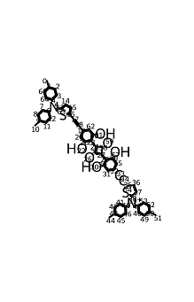 Cc1ccc(N(c2ccc(C)cc2)c2ccc(C#Cc3cc(O)c(C4=C([O-])C(=c5c(O)cc(=C=C=C6C=CC(=[N+](c7ccc(C)cc7)c7ccc(C)cc7)S6)cc5O)C4=O)c(O)c3)s2)cc1